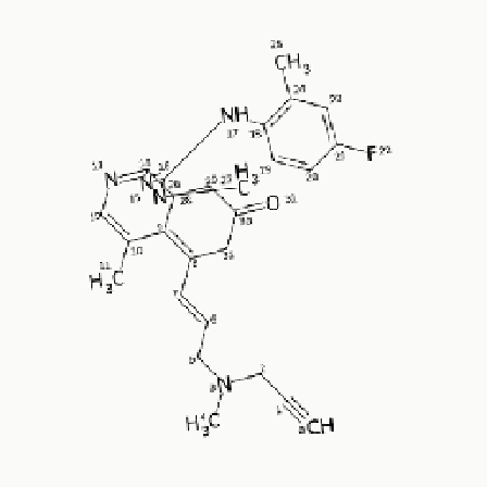 C#CCN(C)C/C=C/C1=C2C(C)=CN=C3N=C(Nc4ccc(F)cc4C)N(C)C32CC(=O)C1